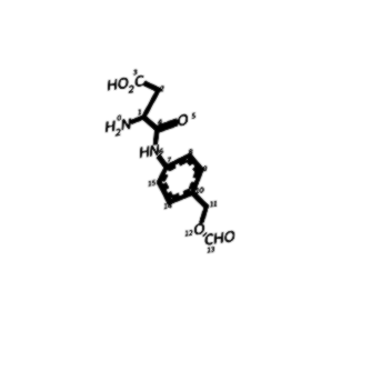 NC(CC(=O)O)C(=O)Nc1ccc(COC=O)cc1